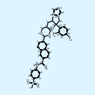 CC(CC1COC(c2ccc3cc(C(=O)Nc4ccc(S(C)(=O)=O)cc4)ccc3c2)OC1)C(O)(Cn1cncn1)c1ccc(F)cc1F